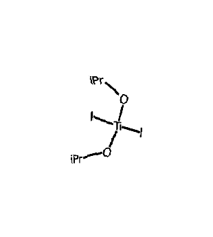 CC(C)[O][Ti]([I])([I])[O]C(C)C